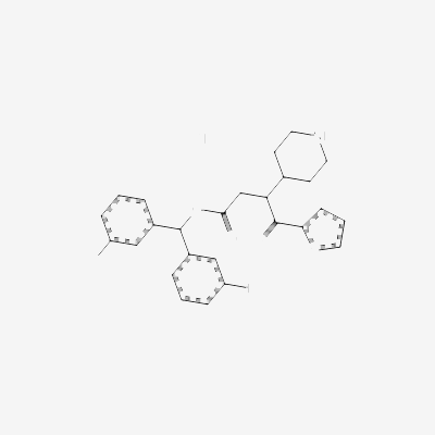 Cl.O=C(CC(C(=O)c1cccs1)C1CCNCC1)OC(c1cccc(F)c1)c1cccc(F)c1